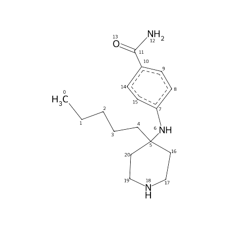 CCCCCC1(Nc2ccc(C(N)=O)cc2)CCNCC1